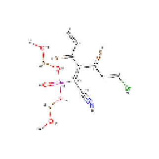 C=CC(=S)C(C(=S)C=CBr)=C(C#N)P(=O)(OSOC)OSOC